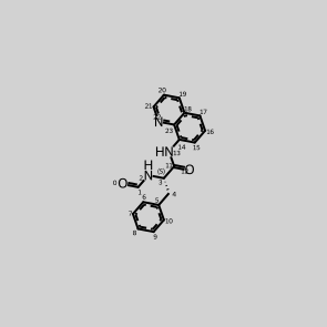 O=CN[C@@H](Cc1ccccc1)C(=O)Nc1cccc2cccnc12